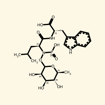 CC(C)C[C@@H](C(=O)N[C@@H](Cc1c[nH]c2ccccc12)C(=O)O)N(OC1O[C@@H](C)[C@H](O)[C@@H](O)[C@H]1O)[PH](=O)O